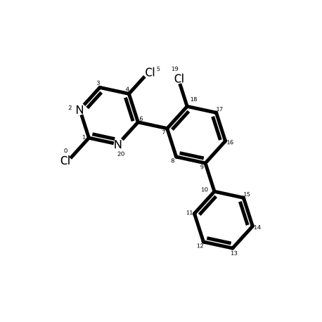 Clc1ncc(Cl)c(-c2cc(-c3ccccc3)ccc2Cl)n1